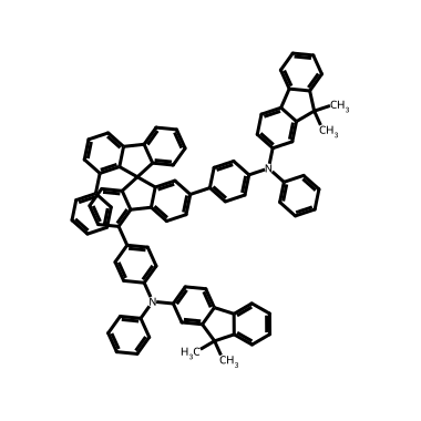 CC1(C)c2ccccc2-c2ccc(N(c3ccccc3)c3ccc(-c4ccc5c(c4)C4(c6ccccc6-c6cccc(-c7ccccc7)c64)c4cccc(-c6ccc(N(c7ccccc7)c7ccc8c(c7)C(C)(C)c7ccccc7-8)cc6)c4-5)cc3)cc21